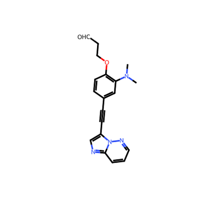 CN(C)c1cc(C#Cc2cnc3cccnn23)ccc1OCCC=O